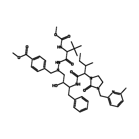 CCC(C)C(C(=O)NC(Cc1ccccc1)C(O)CN(Cc1ccc(C(=O)OC)cc1)NC(=O)C(NC(=O)OC)C(C)(C)C)N1CCN(Cc2cccc(C)n2)C1=O